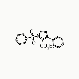 CCOC(=O)c1c(-c2ccccc2)ccn1S(=O)(=O)c1ccccc1